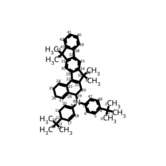 CC(C)(C)c1ccc(N(C2=CCC(C(C)(C)C)C=C2)C2CC3=C(C4=CCCC=C42)c2cc4c(cc2C3(C)C)-c2ccccc2C4(C)C)cc1